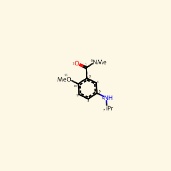 CNC(=O)c1cc(NC(C)C)ccc1OC